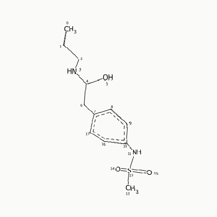 CCCNC(O)Cc1ccc(NS(C)(=O)=O)cc1